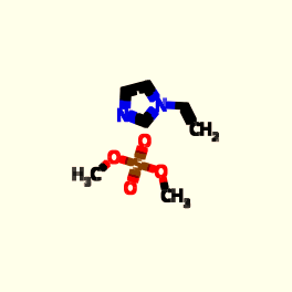 C=Cn1ccnc1.COS(=O)(=O)OC